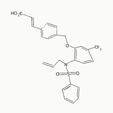 C=CCN(c1ccc(C(F)(F)F)cc1OCc1ccc(C=CC(=O)O)cc1)S(=O)(=O)c1ccccc1